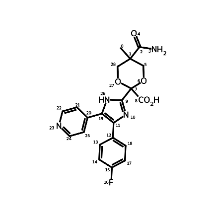 CC1(C(N)=O)COC(C(=O)O)(c2nc(-c3ccc(F)cc3)c(-c3ccncc3)[nH]2)OC1